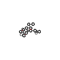 c1ccc(-c2ccccc2-c2ccccc2-c2ccccc2N(c2ccc(-c3ccc4c(c3)oc3ccccc34)cc2)c2cccc3c2-c2ccccc2C32c3ccccc3Oc3ccccc32)cc1